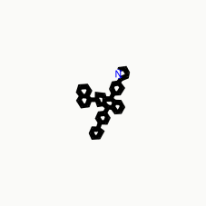 c1ccc(-c2ccc(-c3c4ccccc4c(-c4ccc(-c5ccccn5)cc4)c4ccc(-c5cccc6ccccc56)cc34)cc2)cc1